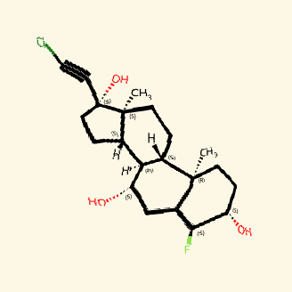 C[C@]12CC[C@H](O)[C@@H](F)C1C[C@H](O)[C@@H]1[C@@H]2CC[C@@]2(C)[C@H]1CC[C@@]2(O)C#CCl